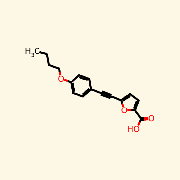 CCCCOc1ccc(C#Cc2ccc(C(=O)O)o2)cc1